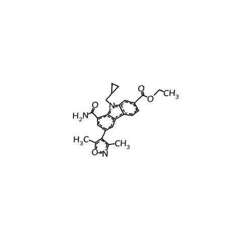 CCOC(=O)c1ccc2c3cc(-c4c(C)noc4C)cc(C(N)=O)c3n(CC3CC3)c2c1